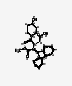 COC(=O)N(C1c2ccccc2-c2ccccc21)[C@@H](CC(=O)O)C(=O)N1CCC(O)CC1